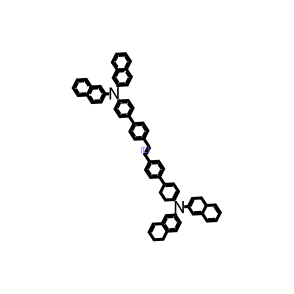 C1=CC2=CC(N(C3=CC=C(c4ccc(/C=C/c5ccc(-c6ccc(N(c7ccc8ccccc8c7)c7ccc8ccccc8c7)cc6)cc5)cc4)CC3)c3ccc4c(c3)C=CCC4)=CCC2C=C1